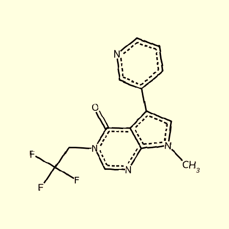 Cn1cc(-c2cccnc2)c2c(=O)n(CC(F)(F)F)cnc21